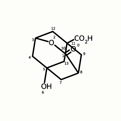 O=C1OC2CC3(O)CC1CC(C(=O)O)(C2)C3